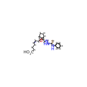 O=C(O)CCC/C=C\CC1C2CCC(C2=O)C1C=NNC(=S)Nc1ccccc1